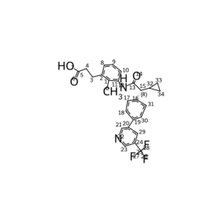 Cc1c(CCC(=O)O)cccc1NC(=O)[C@@H](c1ccc(-c2cncc(C(F)(F)F)c2)cc1)C1CC1